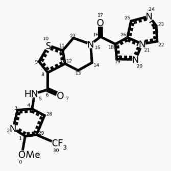 COc1ncc(NC(=O)c2csc3c2CCN(C(=O)c2cnn4ccncc24)C3)cc1C(F)(F)F